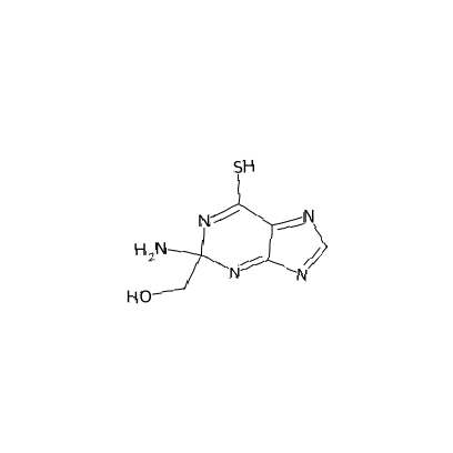 NC1(CO)N=C(S)C2=NC=NC2=N1